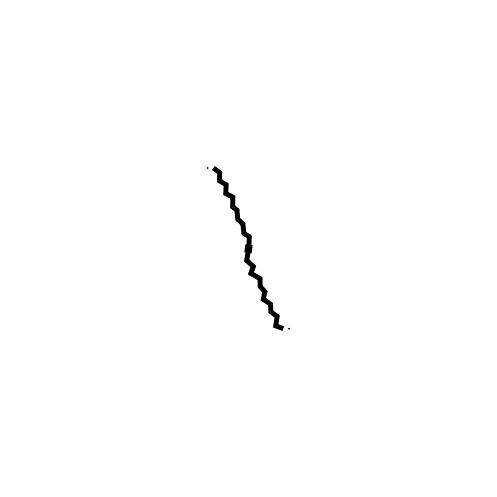 [CH2]CCCCCCCCCCCC#CCCCCCCCCCCC[CH2]